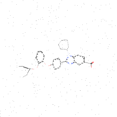 CC=C(CC)Oc1ccccc1Oc1ccc(-c2nc3cc(C(=O)O)ccc3n2C2CCCCC2)cc1